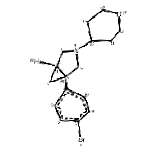 Brc1ccc([C@@]23C[C@@H]2CN(C2CCOCC2)C3)cc1